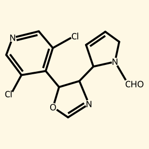 O=CN1CC=CC1C1N=COC1c1c(Cl)cncc1Cl